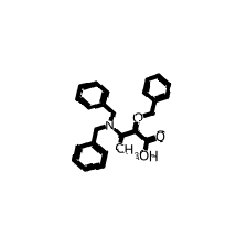 CC(C(OCc1ccccc1)C(=O)O)N(Cc1ccccc1)Cc1ccccc1